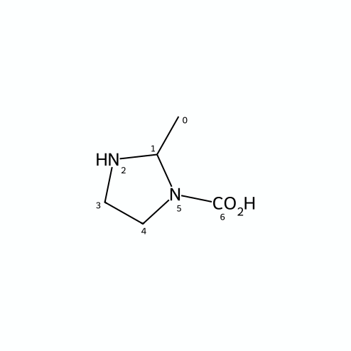 CC1NCCN1C(=O)O